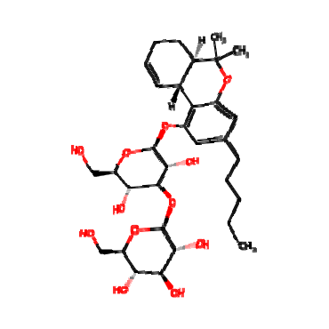 CCCCCc1cc(O[C@@H]2O[C@H](CO)[C@@H](O)[C@H](O[C@@H]3O[C@H](CO)[C@@H](O)[C@H](O)[C@H]3O)[C@H]2O)c2c(c1)OC(C)(C)[C@@H]1CCC=C[C@@H]21